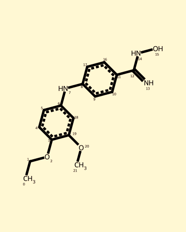 CCOc1ccc(Nc2ccc(C(=N)NO)cc2)cc1OC